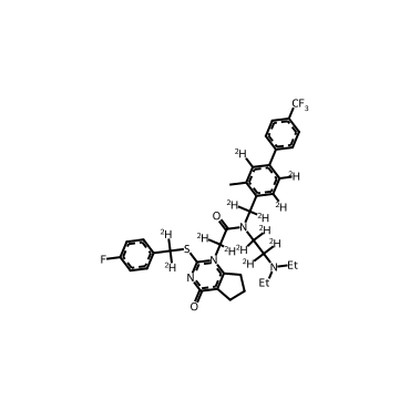 [2H]c1c([2H])c(C([2H])([2H])N(C(=O)C([2H])([2H])n2c(SC([2H])([2H])c3ccc(F)cc3)nc(=O)c3c2CCC3)C([2H])([2H])C([2H])([2H])N(CC)CC)c(C)c([2H])c1-c1ccc(C(F)(F)F)cc1